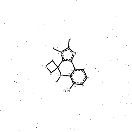 Cc1nc2c(n1C)C1(COC1)N(C)c1c-2cccc1[N+](=O)[O-]